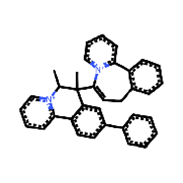 CC1[n+]2ccccc2-c2ccc(-c3ccccc3)cc2C1(C)C1=CCc2ccccc2-c2cccc[n+]21